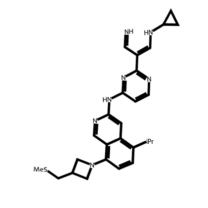 CSCC1CN(c2ccc(C(C)C)c3cc(Nc4ccnc(/C(C=N)=C/NC5CC5)n4)ncc23)C1